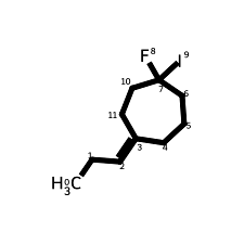 CC/C=C1/CCCC(F)(I)CC1